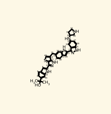 CC(C)(O)c1ccc2cc(-c3n[nH]c4c(Cc5ccc6cc(-c7n[nH]c8ccc(NC9CCNC9)cc78)[nH]c6c5)csc34)[nH]c2c1